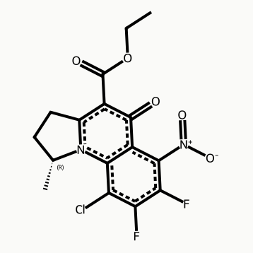 CCOC(=O)c1c2n(c3c(Cl)c(F)c(F)c([N+](=O)[O-])c3c1=O)[C@H](C)CC2